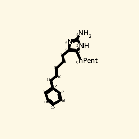 CCCCCc1[nH]c(N)nc1CCCCCc1ccccc1